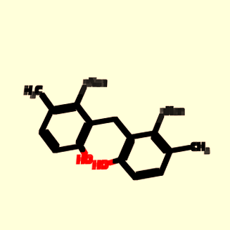 CCCCCCCCCc1c(C)ccc(O)c1Cc1c(O)ccc(C)c1CCCCCCCCC